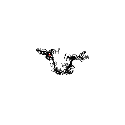 CC/N=c1/cc2oc3cc(NCC)c(C)cc3c(-c3ccccc3C(=O)N(C)CCCC(=O)NCCNC(=O)c3cccc(OCC(N=[N+]=[N-])OCCOCC(=O)NCC#Cc4cn([C@H]5CC(OCSSC(C)(C)C)[C@@H](COP(=O)(O)O)O5)c(=O)[nH]c4=O)c3)c-2cc1C